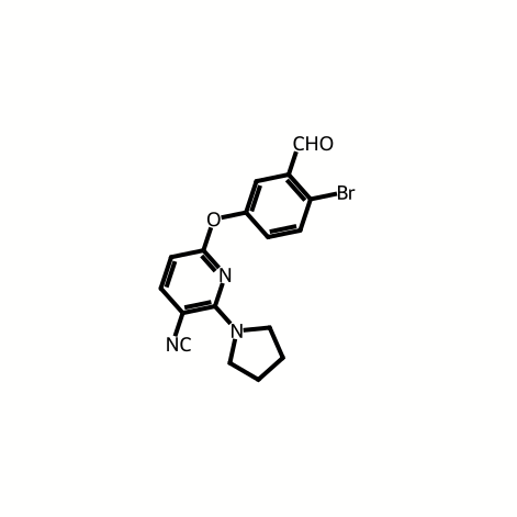 [C-]#[N+]c1ccc(Oc2ccc(Br)c(C=O)c2)nc1N1CCCC1